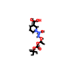 CC(O/N=[N+](\[O-])N1CCCC(C(=O)O)C1)OC(=O)OC(C)(C)C